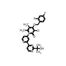 Cc1c(OCc2ccc(F)cc2F)c(Cl)c(=O)n(-c2ccnc(-c3ccnc(C(C)(C)O)n3)c2)c1C